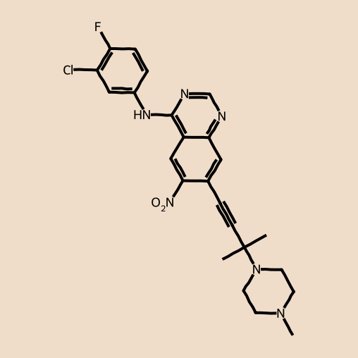 CN1CCN(C(C)(C)C#Cc2cc3ncnc(Nc4ccc(F)c(Cl)c4)c3cc2[N+](=O)[O-])CC1